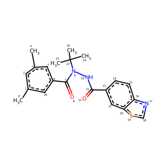 Cc1cc(C)cc(C(=O)N(NC(=O)c2ccc3ncsc3c2)C(C)(C)C)c1